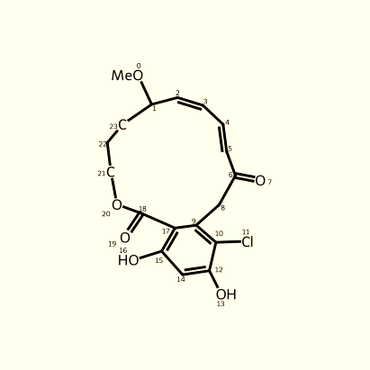 COC1/C=C\C=C\C(=O)Cc2c(Cl)c(O)cc(O)c2C(=O)OCCC1